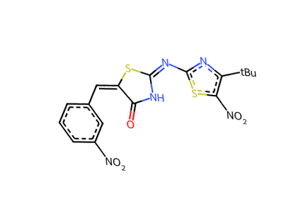 CC(C)(C)c1nc(N=C2NC(=O)C(=Cc3cccc([N+](=O)[O-])c3)S2)sc1[N+](=O)[O-]